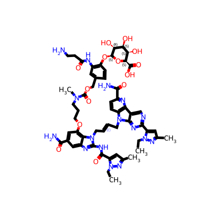 CCn1nc(C)cc1C(=O)Nc1nc2cc(C(N)=O)cc(OCCCN(C)C(=O)OCc3ccc(O[C@@H]4O[C@H](C(=O)O)[C@@H](O)[C@H](O)[C@H]4O)c(NC(=O)CCN)c3)c2n1C/C=C/Cn1c2ccc(C(N)=O)nc2c2cnc(-c3cc(C)nn3CC)nc21